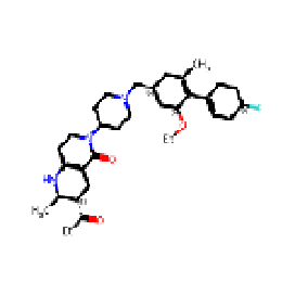 CCO[C@H]1C[C@@H](CN2CCC(N3CCC4=C(C[C@H](C(=O)CC)C(C)N4)C3=O)CC2)CC(C)=C1C1=CC[C@H](F)CC1